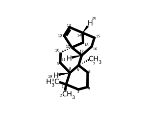 CC1(C)CCC[C@@]2(C)[C@H]1CC[C@@]13C=C[C@H](CC[C@@H]12)C3